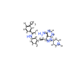 CC=C(Nc1ccc(C)c(C#Cc2nn(C3CCN(C)CC3)c3ncnc(N)c23)c1)c1ccc(C)c(C(F)(F)F)c1